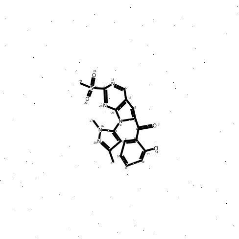 Cc1cc(-n2c(C(=O)c3ccccc3Cl)cc3cnc(S(C)(=O)=O)nc32)n(C)n1